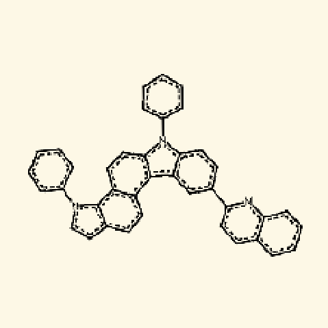 c1ccc(-n2ccc3ccc4c(ccc5c4c4cc(-c6ccc7ccccc7n6)ccc4n5-c4ccccc4)c32)cc1